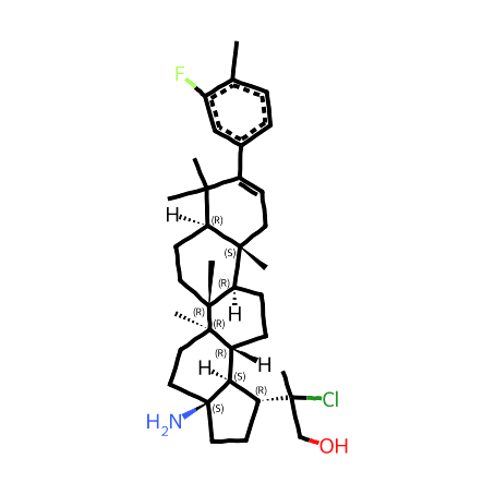 Cc1ccc(C2=CC[C@]3(C)[C@H]4CC[C@@H]5[C@H]6[C@H](C(C)(Cl)CO)CC[C@]6(N)CC[C@@]5(C)[C@]4(C)CC[C@H]3C2(C)C)cc1F